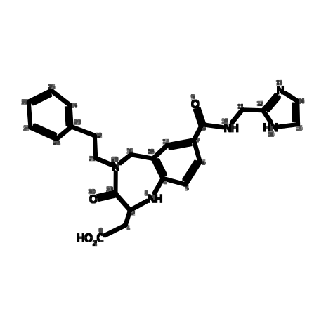 O=C(O)CC1Nc2ccc(C(=O)NCc3ncc[nH]3)cc2CN(CCc2ccccc2)C1=O